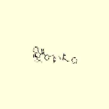 Cc1cc(Nc2cccc(CNCCNCc3ccccc3)c2)c2ccccc2n1